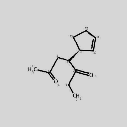 CCC(=O)C(CC(C)=O)[C@@H]1C=CCC1